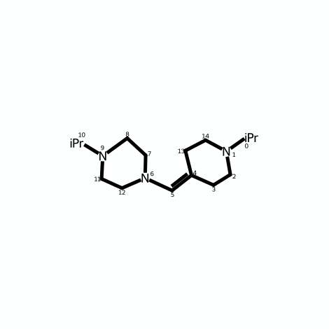 CC(C)N1CCC(=CN2CCN(C(C)C)CC2)CC1